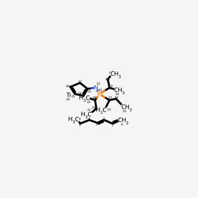 C=CC=CCCC.CCC(C)P(=NC1=CC=CC1)(C(C)CC)C(C)CC.[Ti]